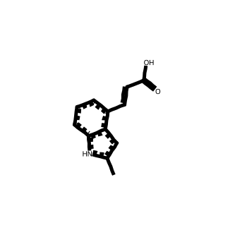 Cc1cc2c(C=CC(=O)O)cccc2[nH]1